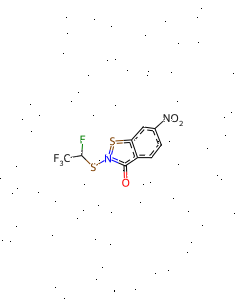 O=c1c2ccc([N+](=O)[O-])cc2sn1SC(F)C(F)(F)F